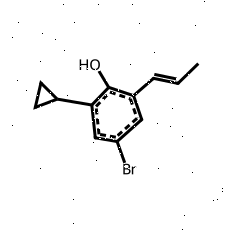 C/C=C/c1cc(Br)cc(C2CC2)c1O